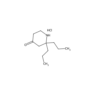 CCCC1(CCC)CC(=O)CCN1.Cl